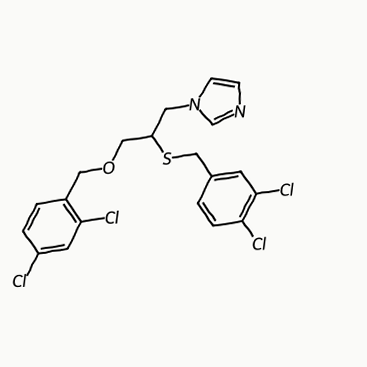 Clc1ccc(COCC(Cn2ccnc2)SCc2ccc(Cl)c(Cl)c2)c(Cl)c1